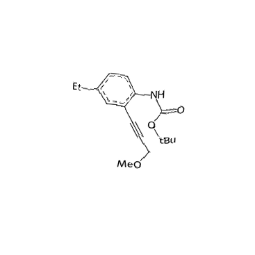 CCc1ccc(NC(=O)OC(C)(C)C)c(C#CCOC)c1